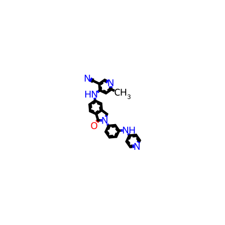 Cc1cc(Nc2ccc3c(c2)CN(c2cccc(Nc4ccncc4)c2)C3=O)c(C#N)cn1